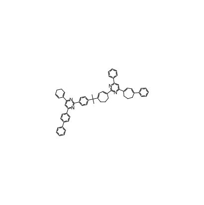 CC(C)(C1=CC=C(c2nc(C3=CC=C(c4ccccc4)CCC3)cc(-c3ccccc3)n2)CCC1)c1ccc(-c2nc(C3=CCCC=C3)cc(-c3ccc(-c4ccccc4)cc3)n2)cc1